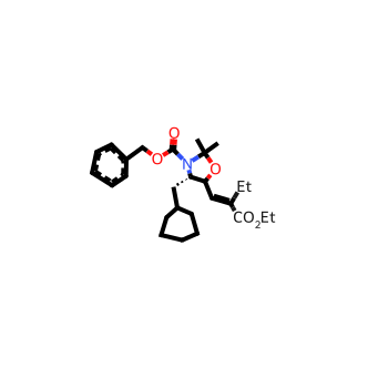 CCOC(=O)C(=CC1OC(C)(C)N(C(=O)OCc2ccccc2)[C@H]1CC1CCCCC1)CC